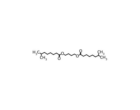 CC(C)CCCCCC(=O)OCCCCOC(=O)CCCCCC(C)C